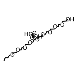 CCCCOCCOCCOCCOCCOCCOCCOCCOCCOCCO.O=S(=O)(O)O